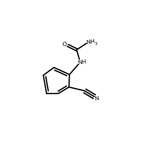 N#Cc1ccccc1NC(N)=O